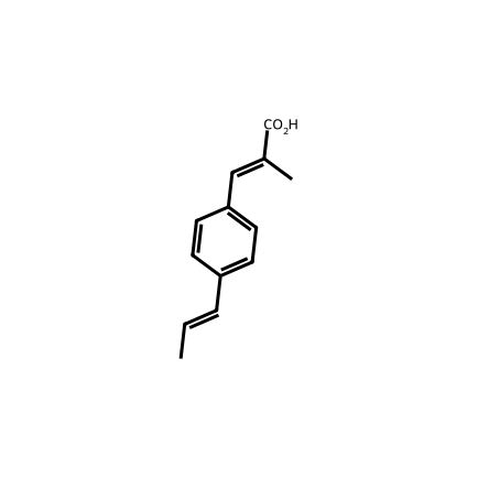 C/C=C/c1ccc(C=C(C)C(=O)O)cc1